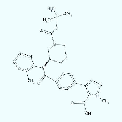 Cc1cccnc1N(C(=O)c1ccc(-c2cnn(C)c2C(=O)O)cc1)[C@@H]1CCCN(C(=O)OC(C)(C)C)C1